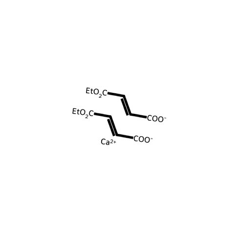 CCOC(=O)C=CC(=O)[O-].CCOC(=O)C=CC(=O)[O-].[Ca+2]